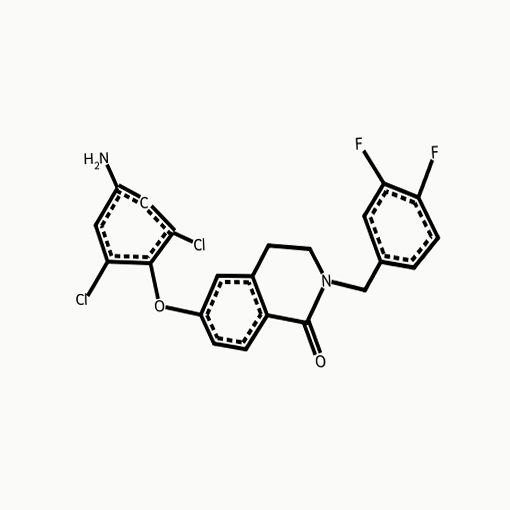 Nc1cc(Cl)c(Oc2ccc3c(c2)CCN(Cc2ccc(F)c(F)c2)C3=O)c(Cl)c1